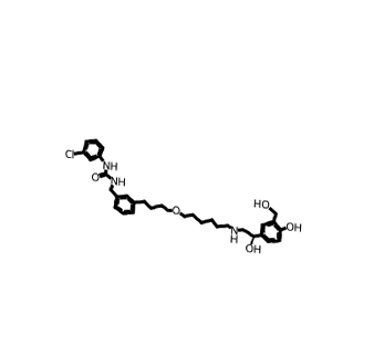 O=C(NCc1cccc(CCCCOCCCCCCNC[C@H](O)c2ccc(O)c(CO)c2)c1)Nc1cccc(Cl)c1